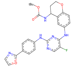 CC(C)(C)OC(=O)NC1CCOc2ccc(Nc3nc(Nc4ccc(-c5ncco5)cc4)ncc3F)cc21